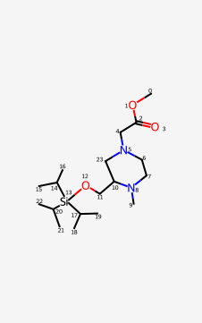 COC(=O)CN1CCN(C)C(CO[Si](C(C)C)(C(C)C)C(C)C)C1